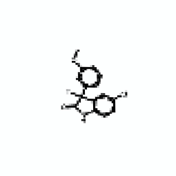 COc1cccc(C2(Cl)C(=O)Nc3ccc(Cl)cc32)c1